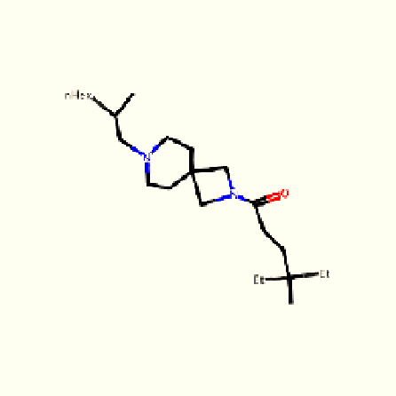 CCCCCCC(C)CN1CCC2(CC1)CN(C(=O)CCC(C)(CC)CC)C2